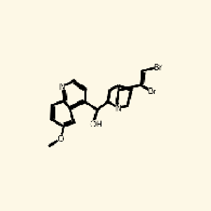 COc1ccc2nccc(C(O)C3CC4CCN3CC4C(Br)=CBr)c2c1